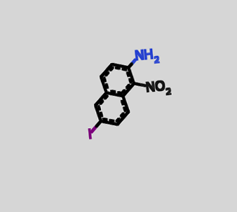 Nc1ccc2cc(I)ccc2c1[N+](=O)[O-]